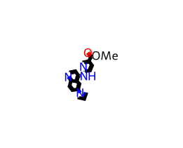 COC(=O)c1ccc(Nc2ccnc3ccc(N4CCC4)cc23)nc1